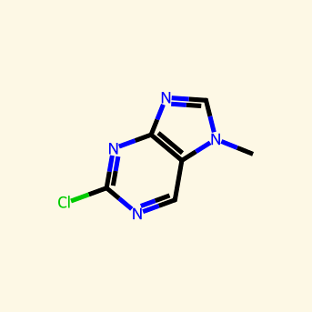 Cn1cnc2nc(Cl)ncc21